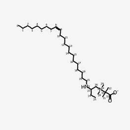 CCCCCCCC/C=C\CCCCCCCCCCCCNC(CC)C[N+](C)(C)C(C)(C)C(=O)[O-]